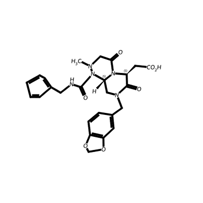 CN1CC(=O)N2[C@@H](CC(=O)O)C(=O)N(Cc3ccc4c(c3)OCO4)C[C@@H]2N1C(=O)NCc1ccccc1